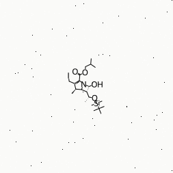 CC(C)COC(=O)C1=C(CI)[C@H](C)C2[C@@H]([C@@H](C)O[Si](C)(C)C(C)(C)C)C(O)N12